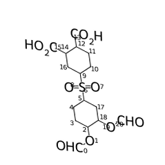 O=COC1CCC(S(=O)(=O)C2CCC(C(=O)O)C(C(=O)O)C2)CC1OC=O